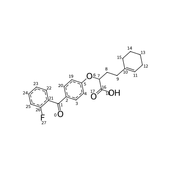 O=C(c1ccc(OC(CCC2=CCCCC2)C(=O)O)cc1)c1ccccc1F